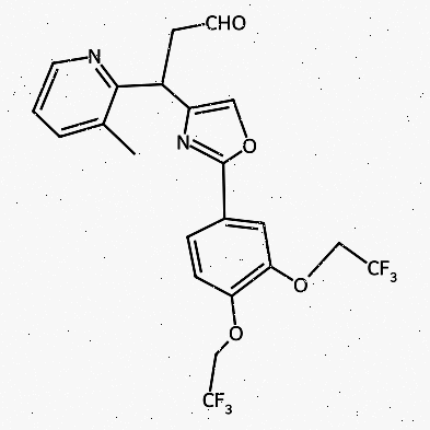 Cc1cccnc1C(CC=O)c1coc(-c2ccc(OCC(F)(F)F)c(OCC(F)(F)F)c2)n1